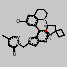 Cc1cnn(Cc2cc3nccc(-c4cc(Cl)cc5c4N([C@@H]4CNC6(CCC6)C4)CCC5)c3s2)c(=O)c1